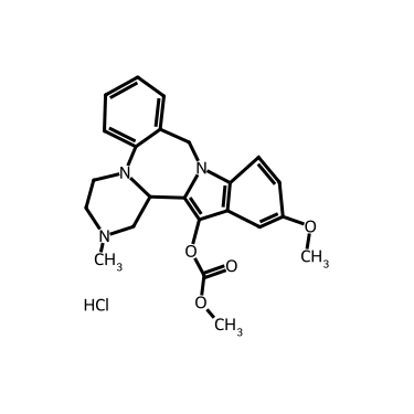 COC(=O)Oc1c2n(c3ccc(OC)cc13)Cc1ccccc1N1CCN(C)CC21.Cl